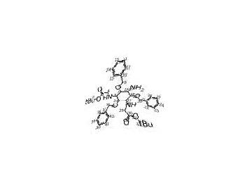 CC(C)(C)OC(=O)CNC1C(OCc2ccccc2)C(N)C(OCc2ccccc2)C(NCC(=O)OC(C)(C)C)C1OCc1ccccc1